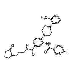 Cc1ccccc1N1CCN(c2ccc(C(=O)NCCCN3CCCC3=O)cc2NC(=O)c2ccc(F)cc2)CC1